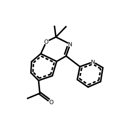 CC(=O)c1ccc2c(c1)C(c1ccccn1)=NC(C)(C)O2